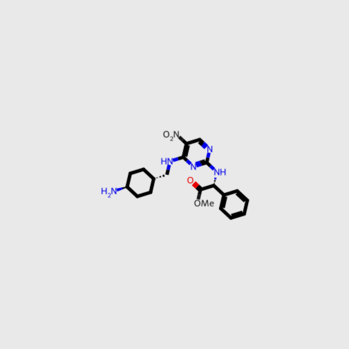 COC(=O)[C@H](Nc1ncc([N+](=O)[O-])c(NC[C@H]2CC[C@H](N)CC2)n1)c1ccccc1